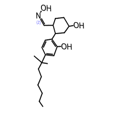 CCCCCCC(C)(C)c1ccc(C2CC(O)CCC2/C=N\O)c(O)c1